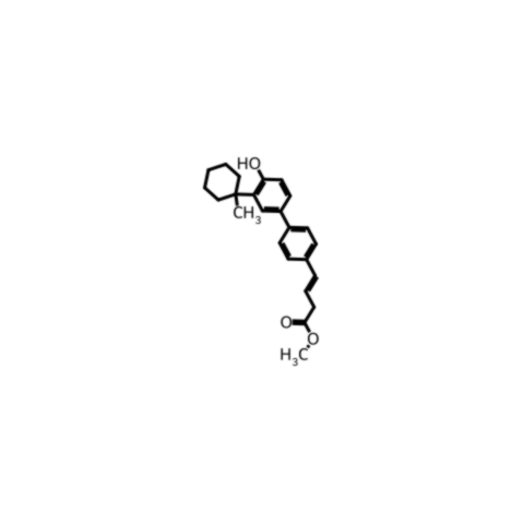 COC(=O)C/C=C/c1ccc(-c2ccc(O)c(C3(C)CCCCC3)c2)cc1